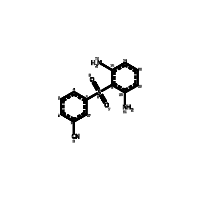 N#Cc1cccc(S(=O)(=O)c2c(N)cccc2N)c1